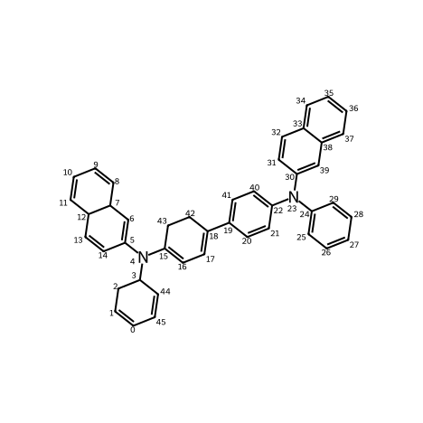 C1=CCC(N(C2=CC3C=CC=CC3C=C2)C2=CC=C(c3ccc(N(c4ccccc4)c4ccc5ccccc5c4)cc3)CC2)C=C1